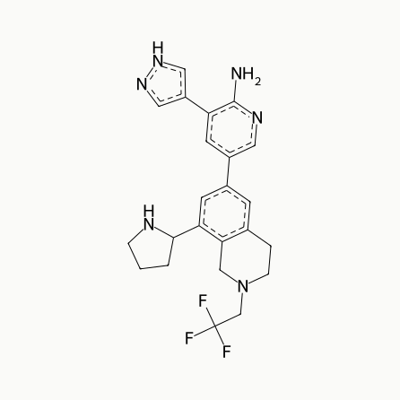 Nc1ncc(-c2cc3c(c(C4CCCN4)c2)CN(CC(F)(F)F)CC3)cc1-c1cn[nH]c1